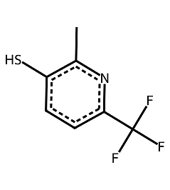 Cc1nc(C(F)(F)F)ccc1S